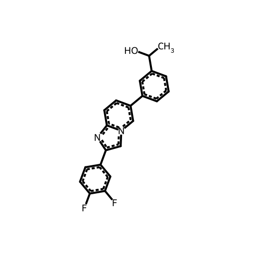 CC(O)c1cccc(-c2ccc3nc(-c4ccc(F)c(F)c4)cn3c2)c1